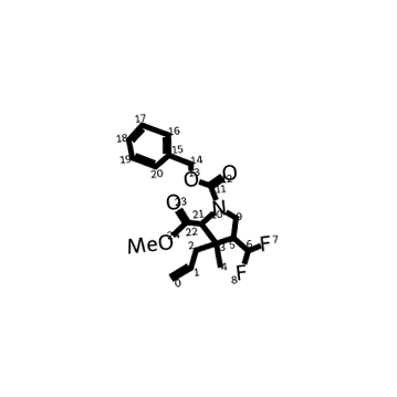 C=CCC1(C)C(C(F)F)CN(C(=O)OCc2ccccc2)C1C(=O)OC